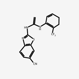 C=C(NC1=C(C(F)(F)F)CCC=C1)Nc1nc2ccc(C#N)cc2s1